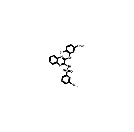 COc1ccc(Br)c(Nc2nc3ccccc3nc2NS(=O)(=O)c2cccc([N+](=O)[O-])c2)c1